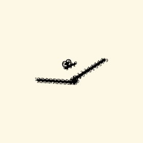 CCCCC(CC)C(=O)[O-].CCCCCCCCCCCCCCCCCCn1cc[n+](CCCCCCCCCCCCCCCCCC)c1